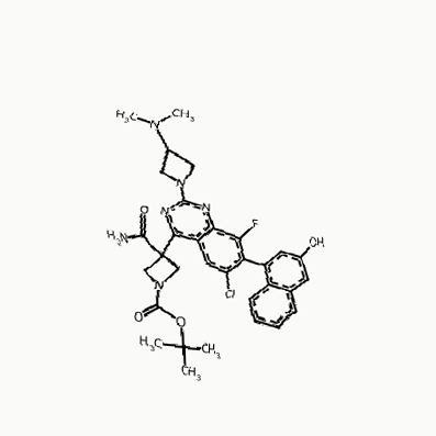 CN(C)C1CN(c2nc(C3(C(N)=O)CN(C(=O)OC(C)(C)C)C3)c3cc(Cl)c(-c4cc(O)cc5ccccc45)c(F)c3n2)C1